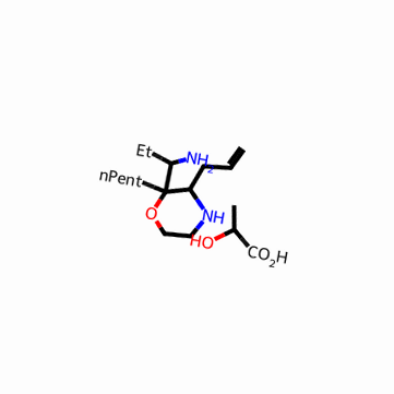 C=CCC1NCCOC1(CCCCC)C(N)CC.CC(O)C(=O)O